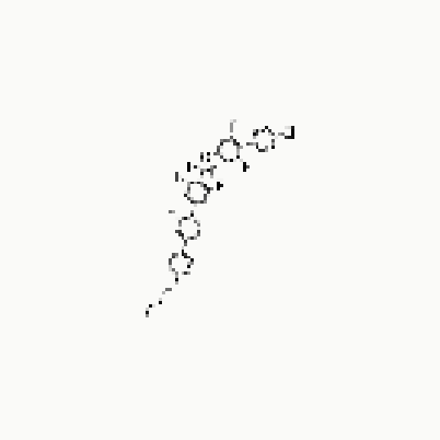 CCCCCc1ccc(-c2ccc(-c3cc(F)c(C(F)(F)Oc4cc(F)c(-c5ccc(Cl)cc5)c(F)c4)c(F)c3)c(F)c2)cc1